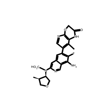 Cc1c(-c2cc3cc(N(C(=O)O)[C@H]4COC[C@H]4C)ncc3c(N)c2F)cnc2c1NC(=O)CO2